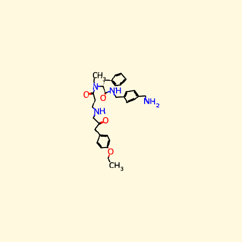 CCOc1ccc(CC(=O)CNCCC(=O)N(CC)[C@H](Cc2ccccc2)C(=O)NCc2ccc(CN)cc2)cc1